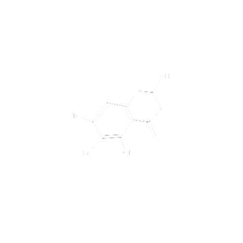 CC1CC(=O)c2c(cc(O)c(Br)c2O)O1